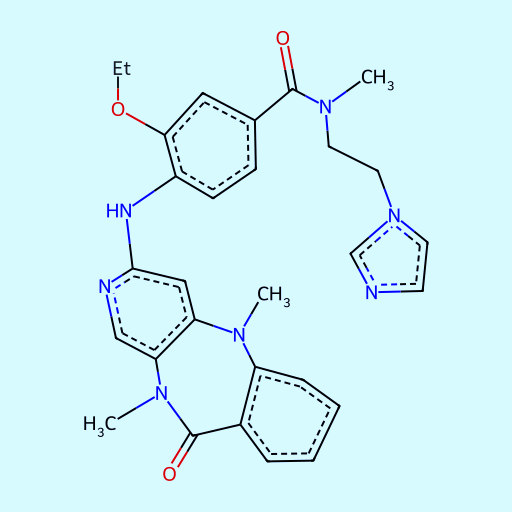 CCOc1cc(C(=O)N(C)CCn2ccnc2)ccc1Nc1cc2c(cn1)N(C)C(=O)c1ccccc1N2C